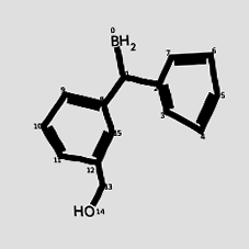 BC(c1ccccc1)c1cccc(CO)c1